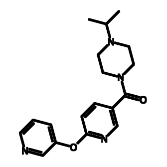 CC(C)N1CCN(C(=O)c2ccc(Oc3cccnc3)nc2)CC1